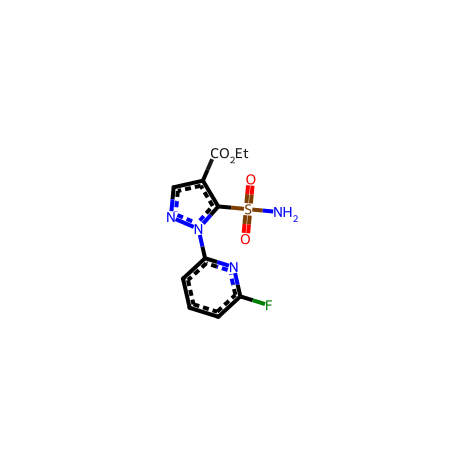 CCOC(=O)c1cnn(-c2cccc(F)n2)c1S(N)(=O)=O